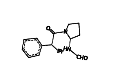 CC(C)C(C(=O)N1CCCC1NC=O)c1ccccc1